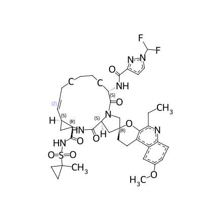 CCc1nc2ccc(OC)cc2c2c1O[C@]1(CC2)C[C@H]2C(=O)N[C@]3(C(=O)NS(=O)(=O)C4(C)CC4)C[C@H]3/C=C\CCCCC[C@H](NC(=O)c3ccn(C(F)F)n3)C(=O)N2C1